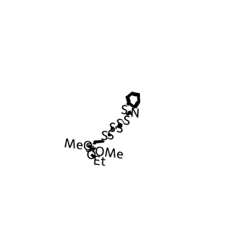 CCO[Si](CCSSSSSSc1nc2ccccc2s1)(OC)OC